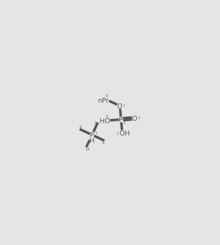 CCCOP(=O)(O)O.C[PH](C)(C)C